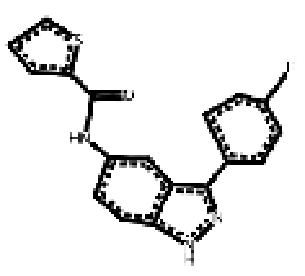 O=C(Nc1ccc2[nH]nc(-c3ccc(F)cc3)c2c1)c1cccs1